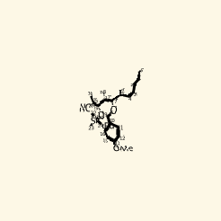 CC=C/C=C\[C@H](C)[C@H](OCc1ccc(OC)cc1)[C@@H](C)[C@H](O[Si](C)(C)C(C)(C)C)[C@@H](C)C#N